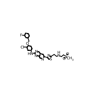 CS(=O)(=O)CCNCCc1nc(-c2cc3cnc(Nc4ccc(OCc5cccc(F)c5)c(Cl)c4)nc3cn2)cs1